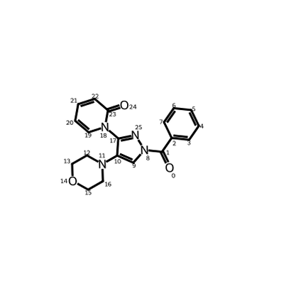 O=C(c1ccccc1)n1cc(N2CCOCC2)c(-n2ccccc2=O)n1